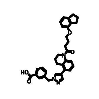 O=C(O)c1cccc(Cn2cc(-c3cccc4c3CCCN4C(=O)CCCOc3cccc4c3CCC4)cn2)c1